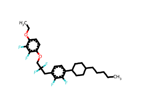 CCCCCC1CCC(c2ccc(CC(F)(F)COc3ccc(OCC)c(F)c3F)c(F)c2F)CC1